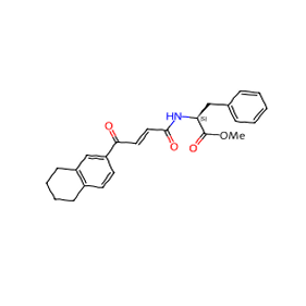 COC(=O)[C@H](Cc1ccccc1)NC(=O)C=CC(=O)c1ccc2c(c1)CCCC2